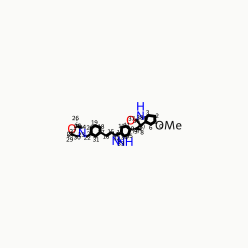 COc1ccc2c(c1)[C@]1(C[C@H]1c1ccc3c(C=Cc4cccc(CN5C[C@@H](C)O[C@@H](C)C5)c4)n[nH]c3c1)C(=O)N2